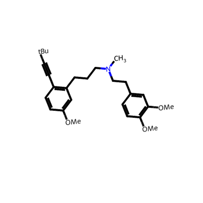 COc1ccc(C#CC(C)(C)C)c(CCCN(C)CCc2ccc(OC)c(OC)c2)c1